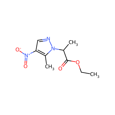 CCOC(=O)C(C)n1ncc([N+](=O)[O-])c1C